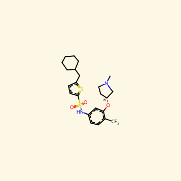 CN1CC[C@@H](Oc2cc(NS(=O)(=O)c3ccc(CC4CCCCC4)s3)ccc2C(F)(F)F)C1